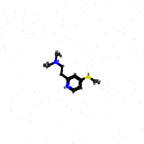 [CH2]Sc1ccnc(CCN(C)C)c1